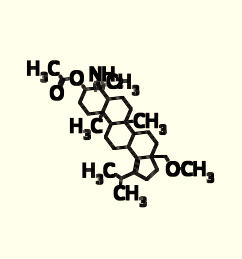 COCC12CCC(C(C)C)=C1C1CCC3C(C)(CCC4C3(C)CCC(OC(C)=O)[C@@]4(C)N)C1CC2